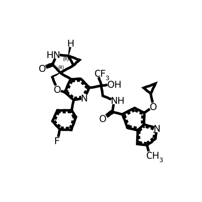 Cc1cnc2c(OC3CC3)cc(C(=O)NCC(O)(c3cc4c(c(-c5ccc(F)cc5)n3)OC[C@]43C(=O)N[C@@H]4CC43)C(F)(F)F)cc2c1